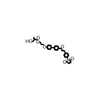 C=C(CO)C(=O)OCCCOc1ccc(-c2ccc(C(=O)/C=C/c3ccc(N4C(=O)C=CC4=O)cc3)cc2)cc1